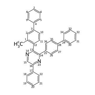 Cc1cc(-c2ccccc2)ccc1-c1ncc(-c2ccccc2)nc1-c1ccc(-c2ccccc2)cc1